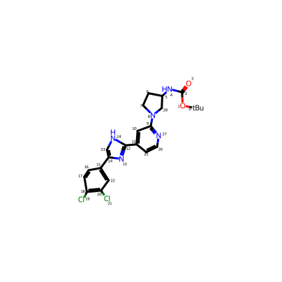 CC(C)(C)OC(=O)NC1CCN(c2cc(-c3nc(-c4ccc(Cl)c(Cl)c4)c[nH]3)ccn2)C1